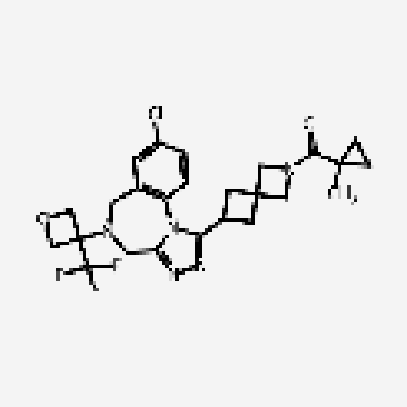 CC1(C(=O)N2CC3(CC(c4nnc5n4-c4ccc(Cl)cc4CN(C4(C(F)(F)F)COC4)C5)C3)C2)CC1